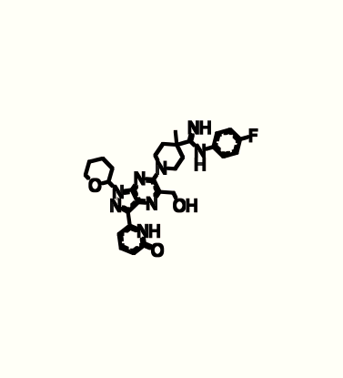 CC1(C(=N)Nc2ccc(F)cc2)CCN(c2nc3c(nc2CO)c(-c2cccc(=O)[nH]2)nn3C2CCCCO2)CC1